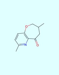 Cc1ccc2c(n1)C(=O)CC(C)CO2